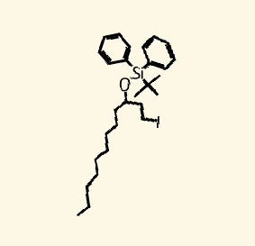 CCCCCCCCCC(CCI)O[Si](c1ccccc1)(c1ccccc1)C(C)(C)C